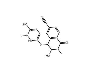 CC1C(=O)c2ccc(C#N)cc2C(OC2=CC=C(O)N(C)N2)C1O